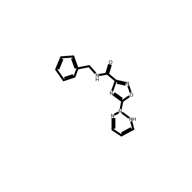 O=C(NCc1ccccc1)c1noc(N2N=CC=CN2)n1